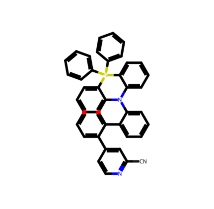 N#Cc1cc(-c2ccccc2-c2ccccc2N2c3ccccc3S(c3ccccc3)(c3ccccc3)c3ccccc32)ccn1